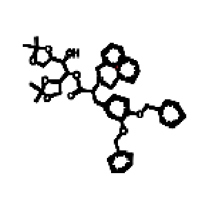 CC1(C)OC[C@H]([C@@H](O)[C@H](OC(=O)C(Cc2ccc(OCc3ccccc3)c(OCc3ccccc3)c2)N(Cc2ccccc2)Cc2ccccc2)[C@H]2COC(C)(C)O2)O1